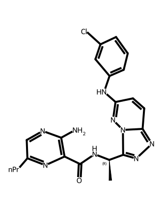 CCCc1cnc(N)c(C(=O)N[C@H](C)c2nnc3ccc(Nc4cccc(Cl)c4)nn23)n1